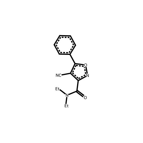 CCN(CC)C(=O)c1noc(-c2ccccc2)c1C#N